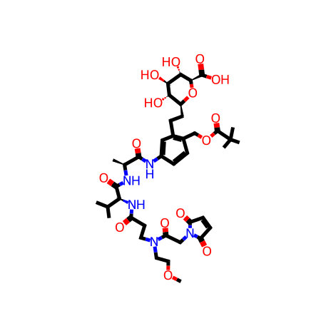 COCCN(CCC(=O)N[C@H](C(=O)N[C@@H](C)C(=O)Nc1ccc(COC(=O)C(C)(C)C)c(CC[C@@H]2O[C@H](C(=O)O)[C@@H](O)[C@H](O)[C@H]2O)c1)C(C)C)C(=O)CN1C(=O)C=CC1=O